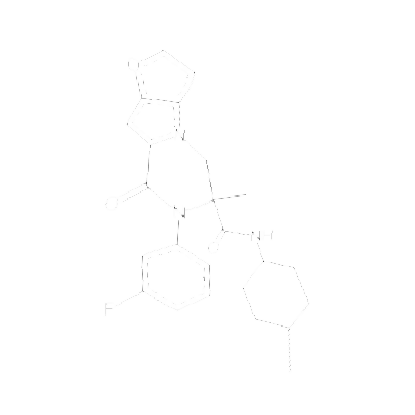 CC1CCC(NC(=O)C2(C)Cn3c(cc4occc43)C(=O)N2c2cccc(F)c2)CC1